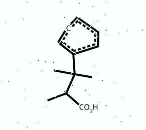 CC(C(=O)O)C(C)(C)c1ccccc1